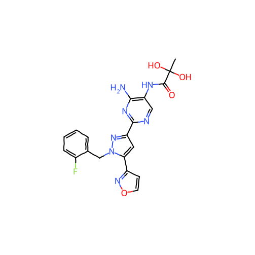 CC(O)(O)C(=O)Nc1cnc(-c2cc(-c3ccon3)n(Cc3ccccc3F)n2)nc1N